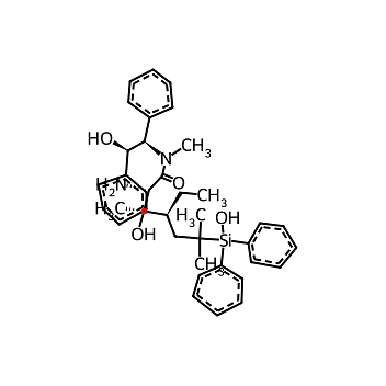 CC[C@@H](CC(C)(C)[Si](O)(c1ccccc1)c1ccccc1)[C@@](C)(O)[C@H](N)C(=O)N(C)[C@H](c1ccccc1)[C@H](O)c1ccccc1